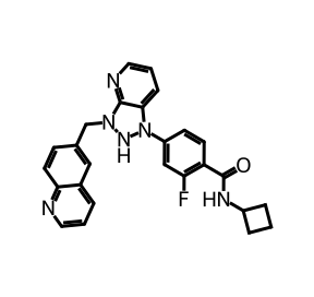 O=C(NC1CCC1)c1ccc(N2NN(Cc3ccc4ncccc4c3)c3ncccc32)cc1F